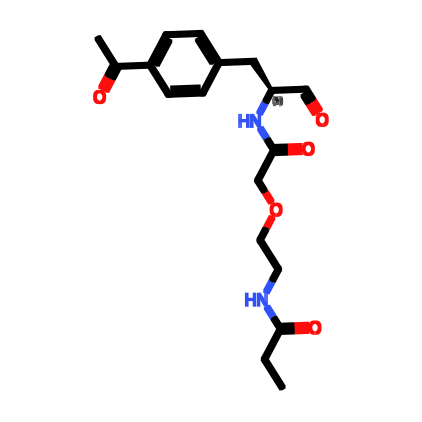 CCC(=O)NCCOCC(=O)N[C@H](C=O)Cc1ccc(C(C)=O)cc1